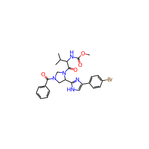 COC(=O)NC(C(=O)N1CN(C(=O)c2ccccc2)CC1c1nc(-c2ccc(Br)cc2)c[nH]1)C(C)C